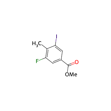 COC(=O)c1cc(F)c(C)c(I)c1